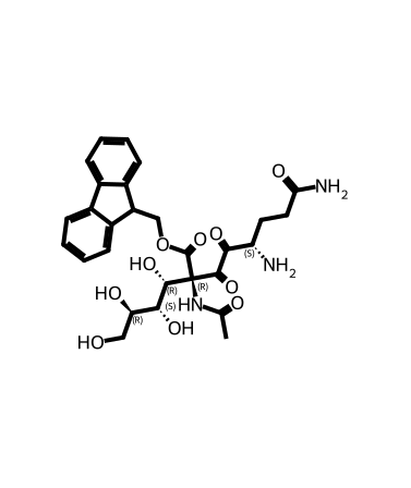 CC(=O)N[C@@](C(=O)OCC1c2ccccc2-c2ccccc21)(C(=O)C(=O)[C@@H](N)CCC(N)=O)[C@@H](O)[C@H](O)[C@H](O)CO